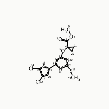 COC(=O)C1(Oc2cc(-c3cc(Cl)c(Cl)s3)nc(SC)n2)CC1